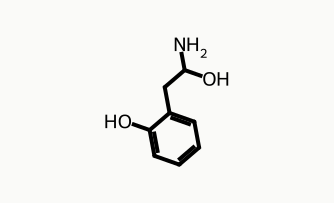 NC(O)Cc1ccccc1O